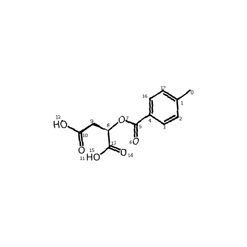 Cc1ccc(C(=O)O[C@H](CC(=O)O)C(=O)O)cc1